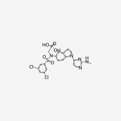 CNc1nccc(-n2ccc3cc(N(CP(=O)(O)O)S(=O)(=O)c4cc(Cl)cc(Cl)c4)ccc32)n1